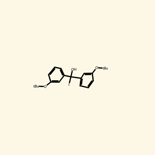 CC(C)(C)Oc1cccc(C(O)(I)c2cccc(OC(C)(C)C)c2)c1